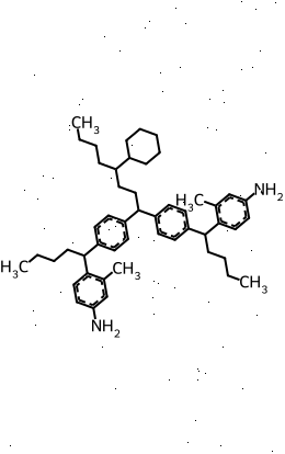 CCCCC(c1ccc(C(CCC(CCCC)C2CCCCC2)c2ccc(C(CCCC)c3ccc(N)cc3C)cc2)cc1)c1ccc(N)cc1C